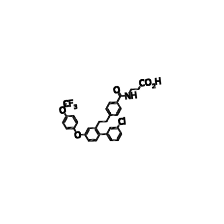 O=C(O)CCNC(=O)c1ccc(CCc2cc(Oc3ccc(OC(F)(F)F)cc3)ccc2-c2cccc(Cl)c2)cc1